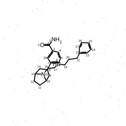 NC(=O)c1cccc(C2CC3CCC(C2)N3CCNCCCc2ccccc2)c1